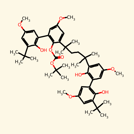 COc1cc(-c2cc(OC)cc(C(C)(C)CCC(C)(C)c3cc(OC)cc(-c4cc(OC)cc(C(C)(C)C)c4O)c3OC(=O)OC(C)(C)C)c2O)c(O)c(C(C)(C)C)c1